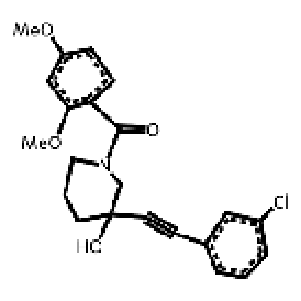 COc1ccc(C(=O)N2CCCC(O)(C#Cc3cccc(Cl)c3)C2)c(OC)c1